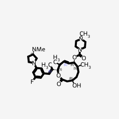 CN[C@H]1CCN(c2cc(F)cc(/C=C(\C)[C@H]3OC(=O)C[C@H](O)CC[C@H](C)[C@@H](OC(=O)N4CCN(C)CC4)/C=C/[C@@H]3C)c2)C1